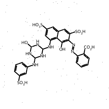 O=C(O)c1ccccc1N=Nc1c(S(=O)(=O)O)cc2cc(S(=O)(=O)O)cc(NC3NC(O)NC(Nc4cccc(S(=O)(=O)O)c4)N3)c2c1O